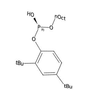 CCCCCCCCO[P@](O)Oc1ccc(C(C)(C)C)cc1C(C)(C)C